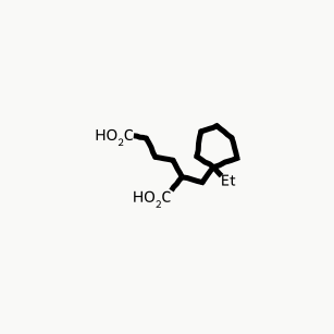 CCC1(CC(CCCC(=O)O)C(=O)O)CCCCC1